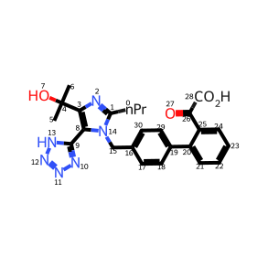 CCCc1nc(C(C)(C)O)c(-c2nnn[nH]2)n1Cc1ccc(-c2ccccc2C(=O)C(=O)O)cc1